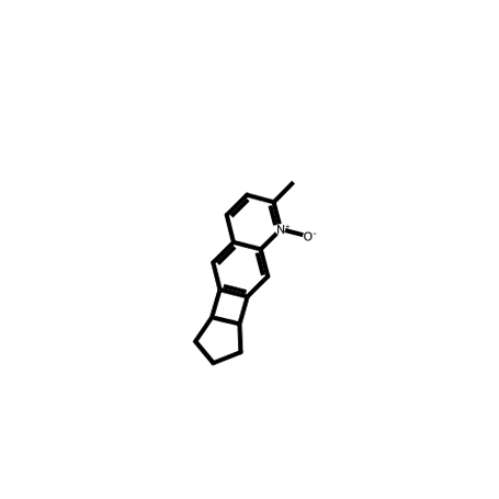 Cc1ccc2cc3c(cc2[n+]1[O-])C1CCCC31